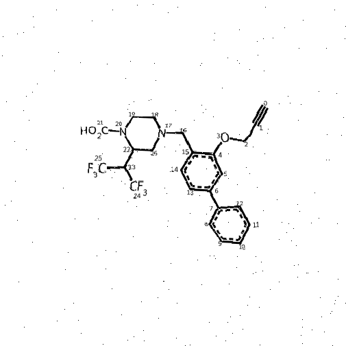 C#CCOc1cc(-c2ccccc2)ccc1CN1CCN(C(=O)O)C(C(C(F)(F)F)C(F)(F)F)C1